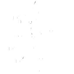 C[C@@]12C[C@@]3(O)OC(O1)C1(COC(=O)c4ccccc4)[C@H]3C[C@@]12O[C@@H]1OC(COC(=O)c2ccccc2)[C@@H](O)[C@H](O)C1O